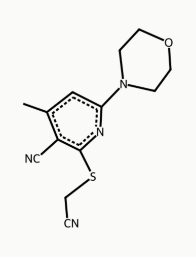 Cc1cc(N2CCOCC2)nc(SCC#N)c1C#N